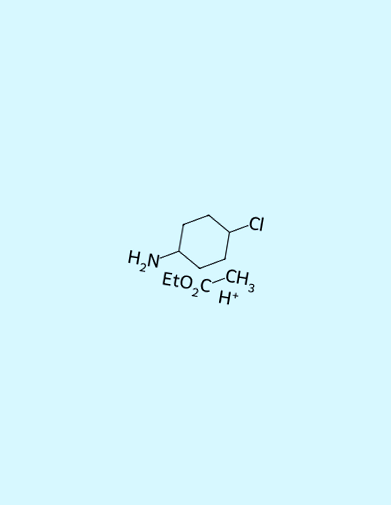 CCOC(C)=O.NC1CCC(Cl)CC1.[H+]